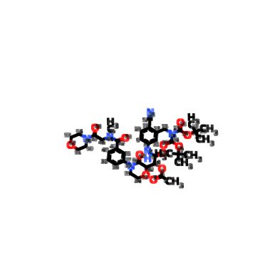 CC(=O)O[C@@H](C(=O)Nc1ccc(C#N)c(CN(C(=O)OC(C)(C)C)C(=O)OC(C)(C)C)c1)[C@H]1OCCN(c2cccc(C(=O)N(C)CC(=O)N3CCOCC3)c2)C1=O